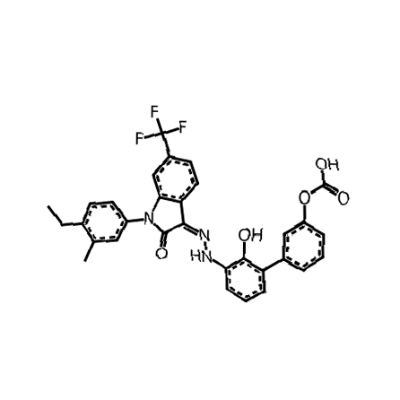 CCc1ccc(N2C(=O)C(=NNc3cccc(-c4cccc(OC(=O)O)c4)c3O)c3ccc(C(F)(F)F)cc32)cc1C